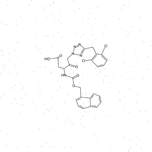 O=C(O)CC(NC(=O)OCc1cccc2ccccc12)C(=O)Cn1nnc(Cc2c(Cl)cccc2Cl)n1